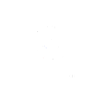 Cc1ccc(S(=O)(=O)N2CCC=CC(C(C)(C)C)C2)cc1